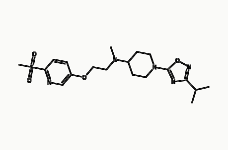 CC(C)c1noc(N2CCC(N(C)CCOc3ccc(S(C)(=O)=O)nc3)CC2)n1